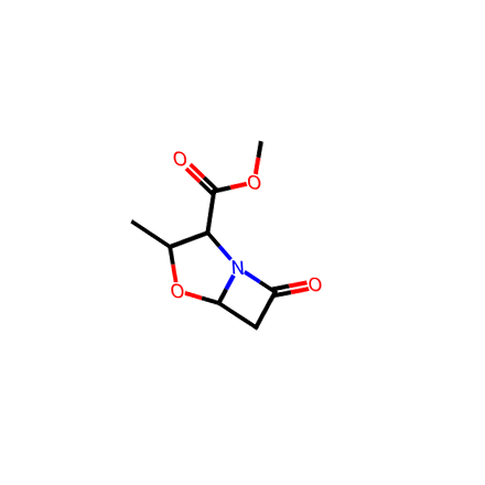 COC(=O)C1C(C)OC2CC(=O)N21